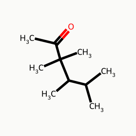 CC(=O)C(C)(C)C(C)C(C)C